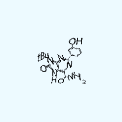 CC(C)(C)n1c(=O)[nH]c2c(C(N)=O)nc(-c3cccc(O)c3)nc21